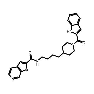 O=C(NCCCCC1CCN(C(=O)c2cc3ccccc3[nH]2)CC1)c1cc2ccncc2s1